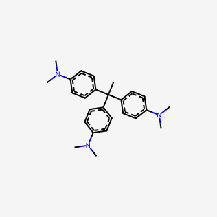 CN(C)c1ccc(C(C)(c2ccc(N(C)C)cc2)c2ccc(N(C)C)cc2)cc1